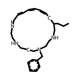 CCCC1C\C=C/C=C\C=C\CNCCNCCCN(Cc2ccccc2)CCNC1